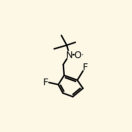 CC(C)(C)N([O])Cc1c(F)cccc1F